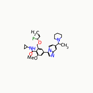 C=CC(F)OCc1cc(-c2cnc3cc(C(C)N4CCCCC4)ccn23)cc(OC)c1C(=O)NC1CC1